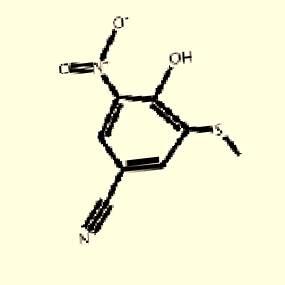 CSc1cc(C#N)cc([N+](=O)[O-])c1O